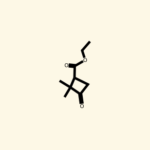 CCOC(=O)C1CC(=O)C1(C)C